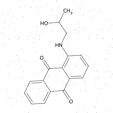 CC(O)CNc1cccc2c1C(=O)c1ccccc1C2=O